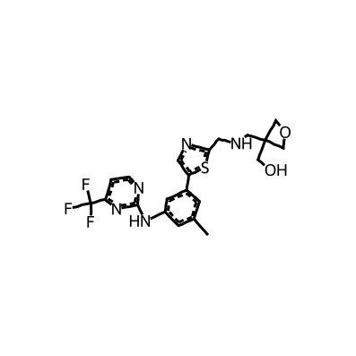 Cc1cc(Nc2nccc(C(F)(F)F)n2)cc(-c2cnc(CNCC3(CO)COC3)s2)c1